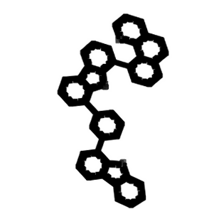 c1cc(-c2cccc3c2sc2ccccc23)cc(-c2cccc3c2sc2c(-c4cccc5ccc6cccnc6c45)cccc23)c1